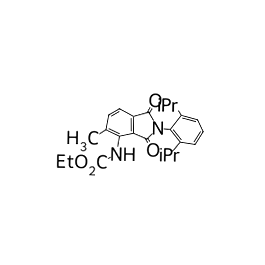 CCOC(=O)Nc1c(C)ccc2c1C(=O)N(c1c(C(C)C)cccc1C(C)C)C2=O